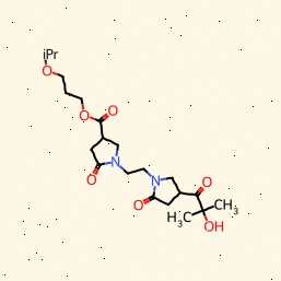 CC(C)OCCCOC(=O)C1CC(=O)N(CCN2CC(C(=O)C(C)(C)O)CC2=O)C1